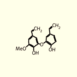 C=Cc1ccc(O)c(Oc2cc(C=C)cc(OC)c2O)c1